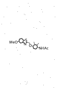 COc1ccc2sc(COc3ccc(NC(C)=O)c(C)c3C)nc2c1